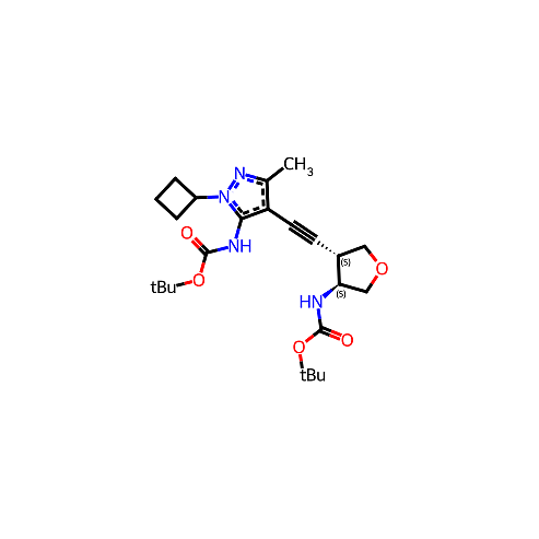 Cc1nn(C2CCC2)c(NC(=O)OC(C)(C)C)c1C#C[C@@H]1COC[C@H]1NC(=O)OC(C)(C)C